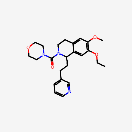 CCOc1cc2c(cc1OC)CCN(C(=O)N1CCOCC1)C2CCc1cccnc1